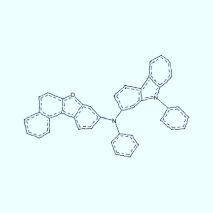 c1ccc(N(c2ccc3c(c2)oc2ccc4ccccc4c23)c2ccc3c4ccccc4n(-c4ccccc4)c3c2)cc1